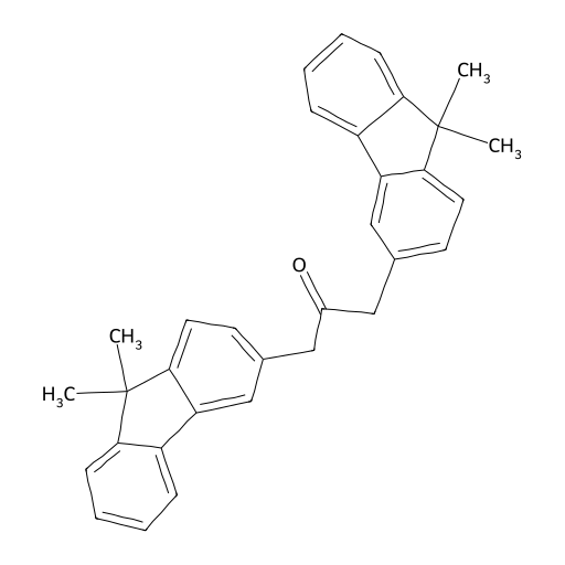 CC1(C)c2ccccc2-c2cc(CC(=O)Cc3ccc4c(c3)-c3ccccc3C4(C)C)ccc21